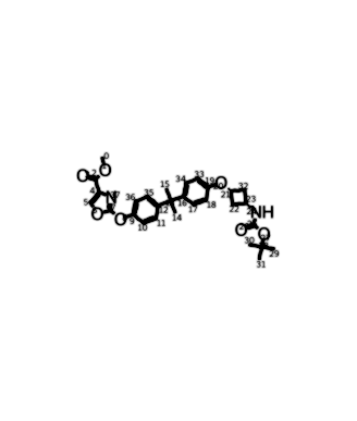 COC(=O)c1coc(Oc2ccc(C(C)(C)c3ccc(O[C@H]4C[C@H](NC(=O)OC(C)(C)C)C4)cc3)cc2)n1